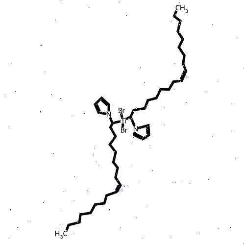 CCCCCCCC/C=C\CCCCCCC[CH](n1cccc1)[Ti]([Br])([Br])[CH](CCCCCCC/C=C\CCCCCCCC)n1cccc1